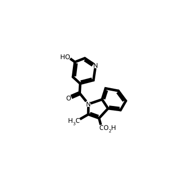 Cc1c(C(=O)O)c2ccccc2n1C(=O)c1cncc(O)c1